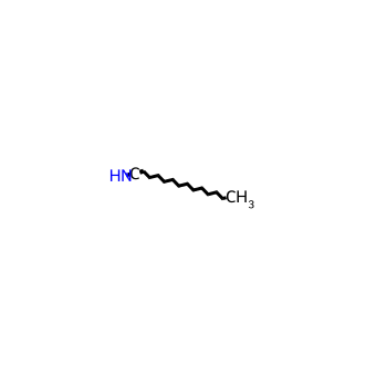 CCCCCCCCCCCCC=C=N